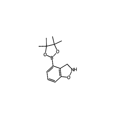 CC1(C)OB(c2cccc3c2CNO3)OC1(C)C